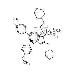 CCc1ccc(-c2cccc3c2C=C(CC2CCCCC2)[CH]3[Zr]([CH3])([CH3])(=[SiH2])[CH]2C(CC3CCCCC3)=Cc3c(-c4ccc(CC)cc4)cccc32)cc1.Cl.Cl